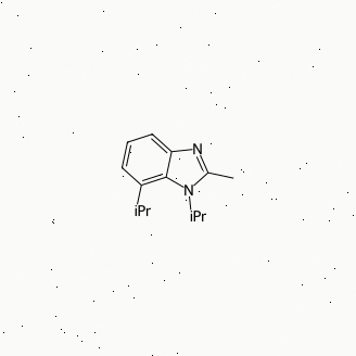 Cc1nc2cccc(C(C)C)c2n1C(C)C